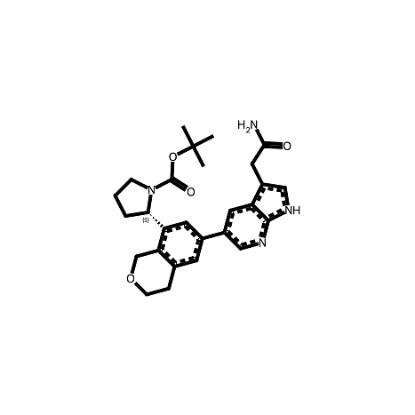 CC(C)(C)OC(=O)N1CCC[C@H]1c1cc(-c2cnc3[nH]cc(CC(N)=O)c3c2)cc2c1COCC2